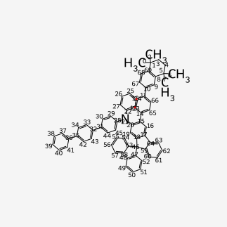 CC1(C)CCC(C)(C)c2cc(-c3ccc(-c4cc5c(cc4N(c4ccccc4)c4ccc(-c6ccc(-c7ccccc7)cc6)cc4)C(c4ccccc4)(c4ccccc4)c4ccccc4-5)cc3)ccc21